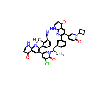 Cc1c(C#N)cccc1-c1nc2[nH]ccc(=O)c2cc1-c1cc(Cl)c(=O)n(C(C)Cc2cccc(-c3nc4[nH]ccc(=O)c4cc3-c3ccc(=O)n(C4CCC4)c3)c2)c1